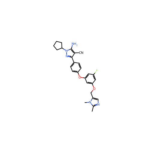 Cc1ncc(COc2cc(F)cc(Oc3ccc(-c4nn(C5CCCC5)c(N)c4C#N)cc3)c2)n1C